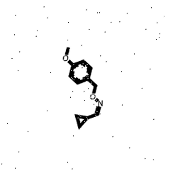 COc1ccc(CO/N=[C]\C2CC2)cc1